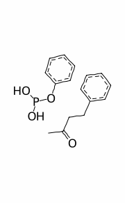 CC(=O)CCc1ccccc1.OP(O)Oc1ccccc1